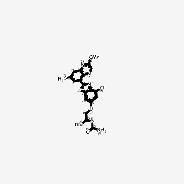 COc1cnc2c(-c3nc4c(Cl)cc(OCC(OC(N)=O)C(C)(C)C)cc4s3)cc(C)cc2n1